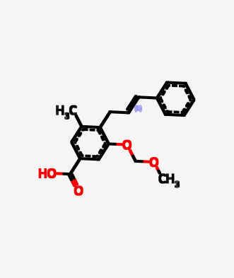 COCOc1cc(C(=O)O)cc(C)c1C/C=C/c1ccccc1